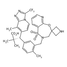 Cc1ccc([C@@H](c2ccn3c(C(F)(F)F)nnc3c2C)C(C)(C)C(=O)O)cc1CN1CC2(CNC2)Oc2ncccc2S1(=O)=O